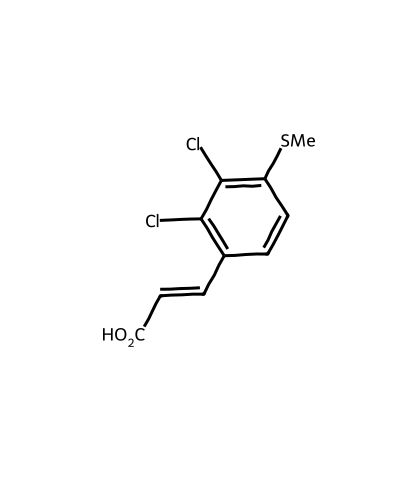 CSc1ccc(/C=C/C(=O)O)c(Cl)c1Cl